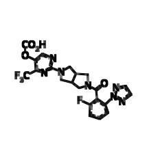 O=C(O)Oc1cnc(N2CC3CN(C(=O)c4c(F)cccc4-n4nccn4)CC3C2)nc1C(F)(F)F